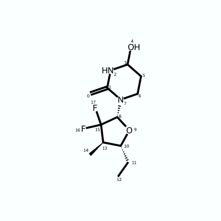 C=C1NC(O)CCN1[C@@H]1O[C@H](CC)[C@@H](C)C1(F)F